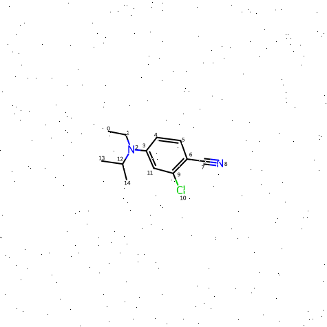 CCN(c1ccc(C#N)c(Cl)c1)C(C)C